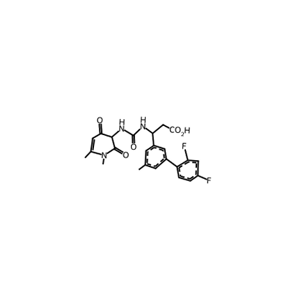 CC1=CC(=O)C(NC(=O)NC(CC(=O)O)c2cc(C)cc(-c3ccc(F)cc3F)c2)C(=O)N1C